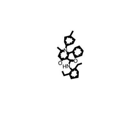 CCc1cccc(CC)c1NC(=O)c1c(-c2ccccc2)n(-c2ccc(C)cc2)c(C)cc1=O